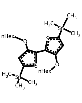 CCCCCCOc1c[c]([Sn]([CH3])([CH3])[CH3])sc1-c1s[c]([Sn]([CH3])([CH3])[CH3])cc1OCCCCCC